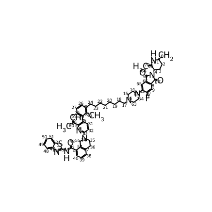 C=C1CCC(N2C(=O)c3cc(F)c(N4CCN(CCCCCCCCc5cccc(-c6ccc(N7CCc8cccc(C(=O)Nc9nc%10ccccc%10s9)c8C7)nc6C(=C)C)c5C)CC4)cc3C2=O)C(=C)N1